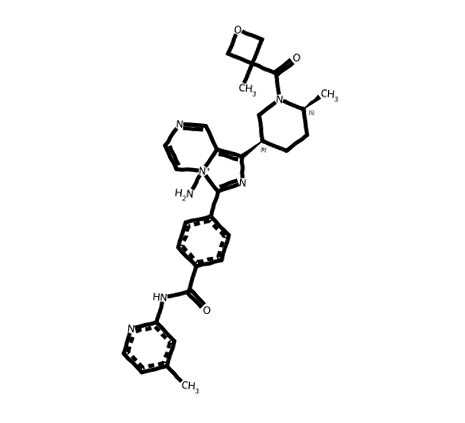 Cc1ccnc(NC(=O)c2ccc(C3=NC([C@@H]4CC[C@H](C)N(C(=O)C5(C)COC5)C4)=C4C=NC=C[N+]34N)cc2)c1